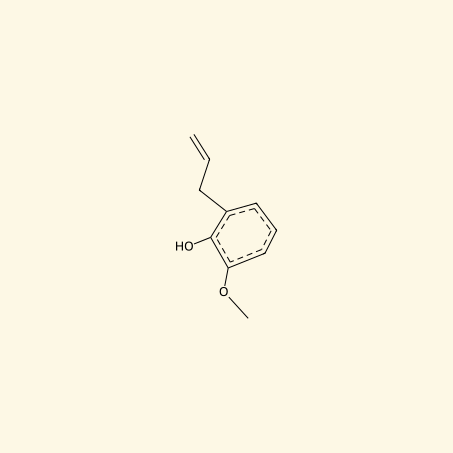 C=CCc1cccc(OC)c1O